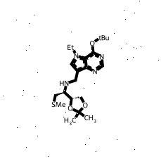 CCn1cc(CN[C@H](CSC)[C@@H]2COC(C)(C)O2)c2ncnc(OC(C)(C)C)c21